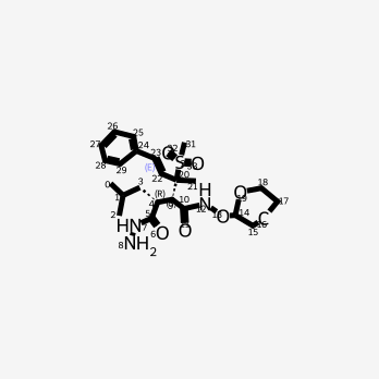 CC(C)C[C@@H](C(=O)NN)[C@@H](C(=O)NOC1CCCCO1)C(C)(/C=C/c1ccccc1)S(C)(=O)=O